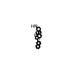 CN[C@H]1CCC2=CC3=CC[C@]4(C)C(c5ccc6ccccc6c5)CC[C@H]4C34CC[C@]2(C1)O4